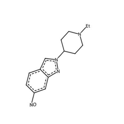 CCN1CCC(n2cc3ccc(N=O)cc3n2)CC1